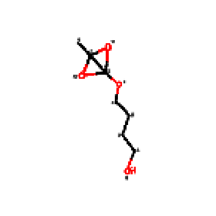 CC12OC1(OCCCCO)O2